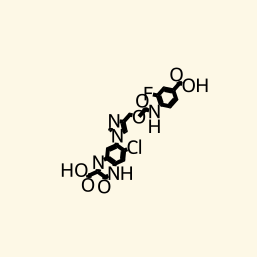 O=C(Nc1ccc(C(=O)O)cc1F)OCc1cn(-c2cc3nc(C(=O)O)c(=O)[nH]c3cc2Cl)cn1